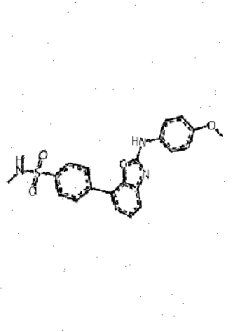 CNS(=O)(=O)c1ccc(-c2cccc3nc(Nc4ccc(OC)cc4)oc23)cc1